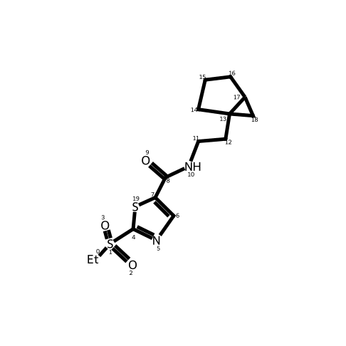 CCS(=O)(=O)c1ncc(C(=O)NCCC23CCCC2C3)s1